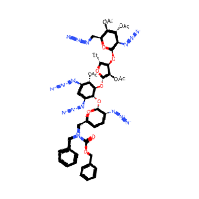 CC[C@H]1O[C@@H](O[C@@H]2[C@@H](OC(C)=O)[C@H](N=[N+]=[N-])C[C@H](N=[N+]=[N-])[C@H]2O[C@H]2O[C@H](CN(Cc3ccccc3)C(=O)OCc3ccccc3)CC[C@H]2N=[N+]=[N-])[C@H](OC(C)=O)[C@@H]1O[C@H]1O[C@@H](CN=[N+]=[N-])[C@@H](OC(C)=O)[C@H](OC(C)=O)[C@H]1N=[N+]=[N-]